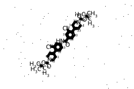 CC(C)(C)OC(=O)N1CC=C(c2ccc(NC(=O)c3ccc(C4=CCN(C(=O)OC(C)(C)C)CC4)c(Cl)c3)cc2Cl)CC1